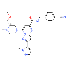 COC[C@@H]1CN(c2cc(C(=O)NCc3ccc(C#N)cc3)nc3cc(-c4ccnn4C)nn23)CCN1C